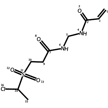 C=CC(=O)NCNC(=O)CCS(=O)(=O)C(C)Cl